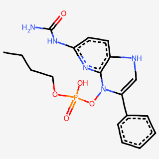 CCCCOP(=O)(O)ON1C(c2ccccc2)=CNc2ccc(NC(N)=O)nc21